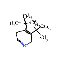 CC(C)(C)C1=C(C(C)(C)C)CN=CC1